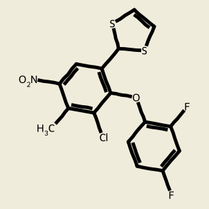 Cc1c([N+](=O)[O-])cc(C2SC=CS2)c(Oc2ccc(F)cc2F)c1Cl